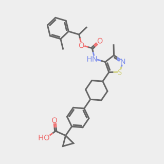 Cc1ccccc1C(C)OC(=O)Nc1c(C)nsc1C1CCC(c2ccc(C3(C(=O)O)CC3)cc2)CC1